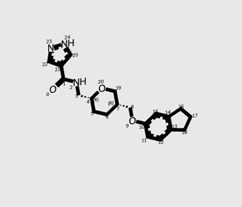 O=C(NC[C@H]1CC[C@@H](COc2ccc3c(c2)CCC3)CO1)c1cn[nH]c1